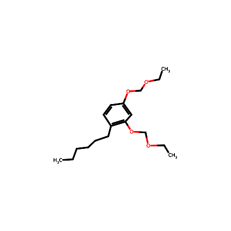 CCCCCCc1ccc(OCOCC)cc1OCOCC